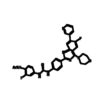 CC(=O)Nc1ccc(NC(=O)Nc2ccc(-c3nc(N4CCOCC4)c4cc(F)c(-c5cccnc5)cc4n3)cc2)cc1F